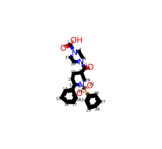 O=C(O)N1CCN(C(=O)C2CCC(c3ccccc3)N(S(=O)(=O)c3ccccc3)C2)CC1